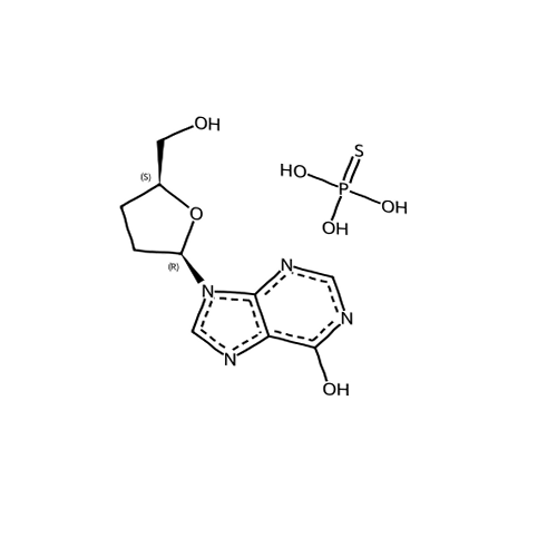 OC[C@@H]1CC[C@H](n2cnc3c(O)ncnc32)O1.OP(O)(O)=S